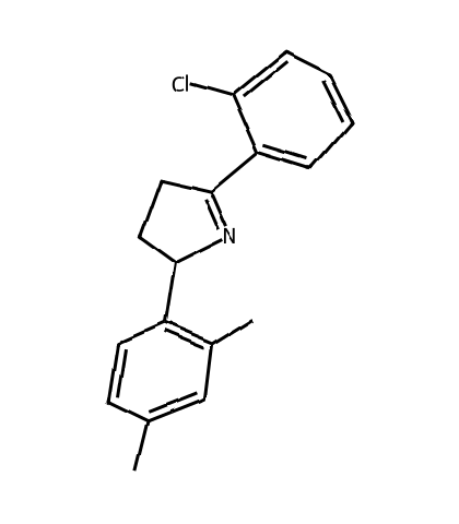 Cc1ccc(C2CCC(c3ccccc3Cl)=N2)c(C)c1